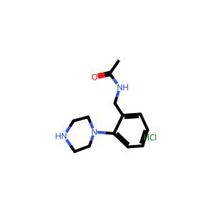 CC(=O)NCc1ccccc1N1CCNCC1.Cl